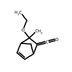 CCOC1(C)C(=C=O)C2C=CC1C2